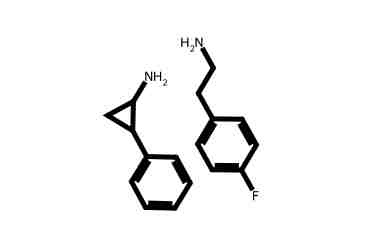 NC1CC1c1ccccc1.NCCc1ccc(F)cc1